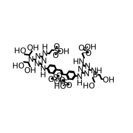 O=S(=O)(O)CCNc1nc(NB(CCO)CCO)nc(Nc2ccc(C=Cc3ccc(Nc4nc(NCCS(=O)(=O)O)nc(N(C(CO)CO)C(CO)CO)n4)cc3S(=O)(=O)O)c(S(=O)(=O)O)c2)n1